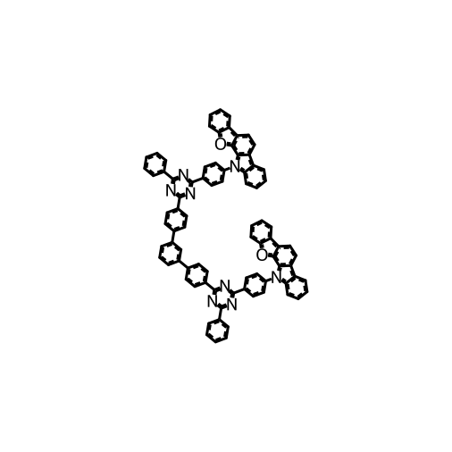 c1ccc(-c2nc(-c3ccc(-c4cccc(-c5ccc(-c6nc(-c7ccccc7)nc(-c7ccc(-n8c9ccccc9c9ccc%10c%11ccccc%11oc%10c98)cc7)n6)cc5)c4)cc3)nc(-c3ccc(-n4c5ccccc5c5ccc6c7ccccc7oc6c54)cc3)n2)cc1